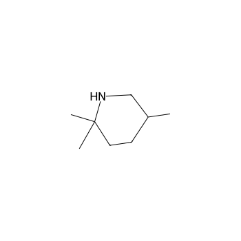 CC1CCC(C)(C)NC1